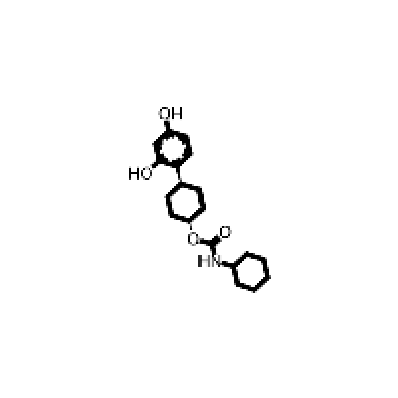 O=C(NC1CCCCC1)O[C@H]1CC[C@H](c2ccc(O)cc2O)CC1